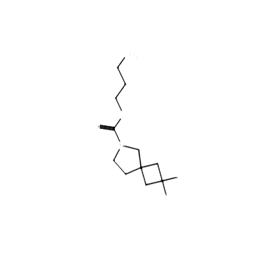 CCCCOC(=O)N1CCC2(C1)CC(F)(F)C2